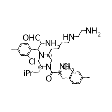 Cc1ccc(C[C@@H](N)C(=O)N2C[C@H](CCCCNCCN)N(C(c3ccc(C)cc3Cl)C(N)C=O)C[C@H]2CC(C)C)c(Cl)c1